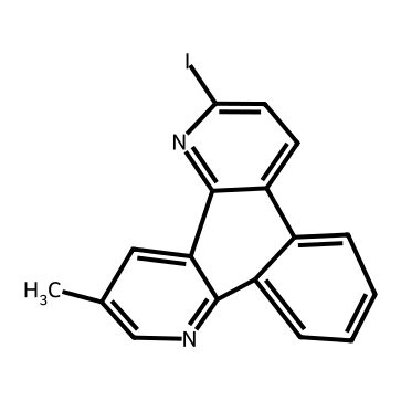 Cc1cnc2c3ccccc3c3ccc(I)nc3c2c1